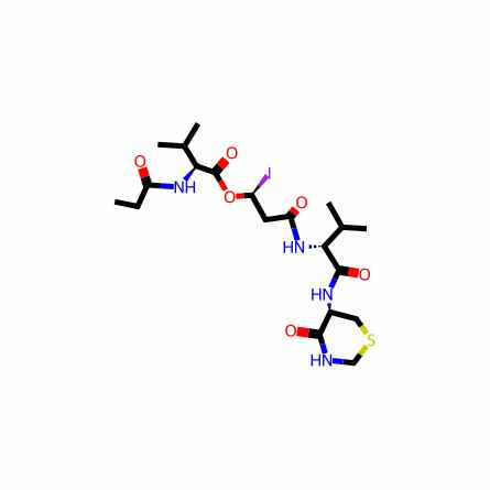 CCC(=O)N[C@H](C(=O)O[C@@H](I)CC(=O)N[C@@H](C(=O)N[C@@H]1CSCNC1=O)C(C)C)C(C)C